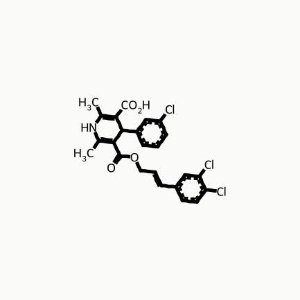 CC1=C(C(=O)O)C(c2cccc(Cl)c2)C(C(=O)OCC=Cc2ccc(Cl)c(Cl)c2)=C(C)N1